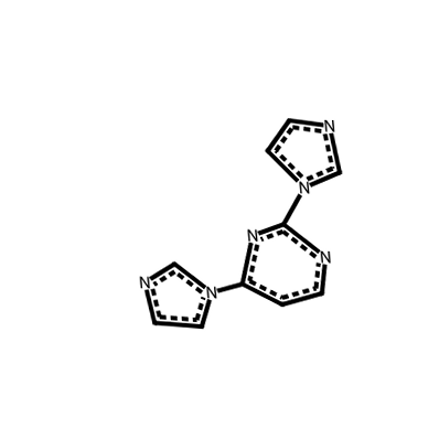 c1cn(-c2ccnc(-n3ccnc3)n2)cn1